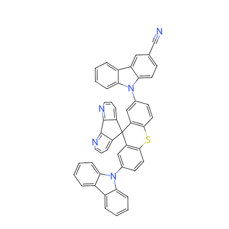 N#Cc1ccc2c(c1)c1ccccc1n2-c1ccc2c(c1)C1(c3cc(-n4c5ccccc5c5ccccc54)ccc3S2)c2cccnc2-c2ncccc21